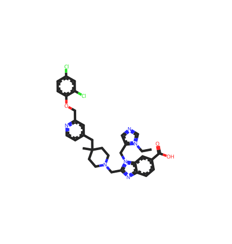 CCn1cncc1Cn1c(CN2CCC(C)(Cc3ccnc(COc4ccc(Cl)cc4Cl)c3)CC2)nc2ccc(C(=O)O)cc21